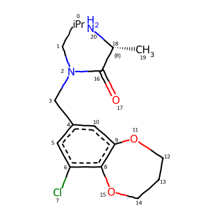 CC(C)CN(Cc1cc(Cl)c2c(c1)OCCCO2)C(=O)[C@@H](C)N